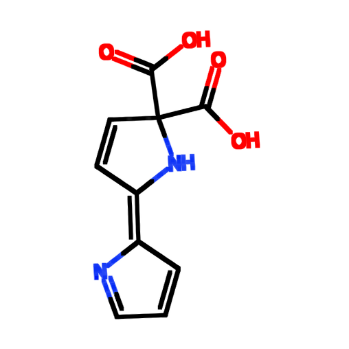 O=C(O)C1(C(=O)O)C=CC(=C2C=CC=N2)N1